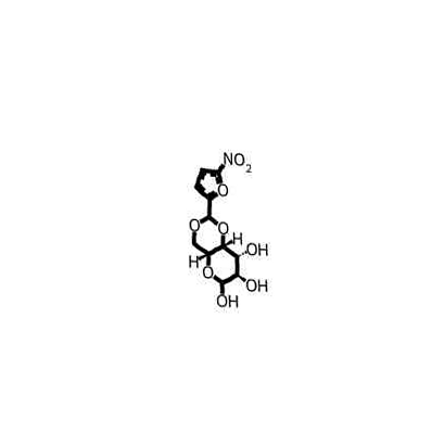 O=[N+]([O-])c1ccc(C2OC[C@H]3OC(O)[C@H](O)[C@@H](O)[C@H]3O2)o1